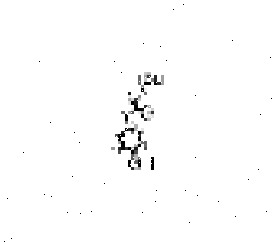 CC[C@H](C)COC(=O)Cc1ccc(O)cc1